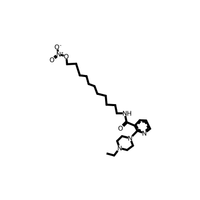 CCN1CCN(c2ncccc2C(=O)NCCCCCCCCCCCO[N+](=O)[O-])CC1